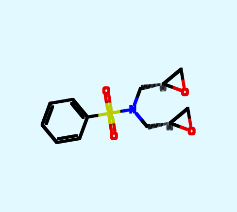 O=S(=O)(c1ccccc1)N(C[C@@H]1CO1)C[C@@H]1CO1